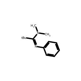 CN(C)C(=Nc1ccccc1)C(C)(C)C